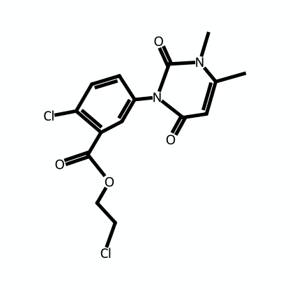 Cc1cc(=O)n(-c2ccc(Cl)c(C(=O)OCCCl)c2)c(=O)n1C